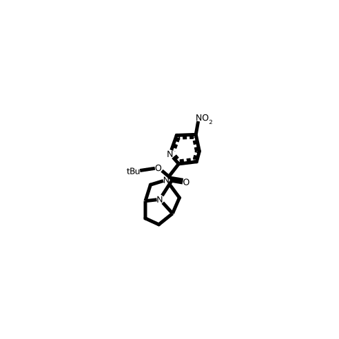 CC(C)(C)OC(=O)N1C2CCC1CN(c1ccc([N+](=O)[O-])cn1)C2